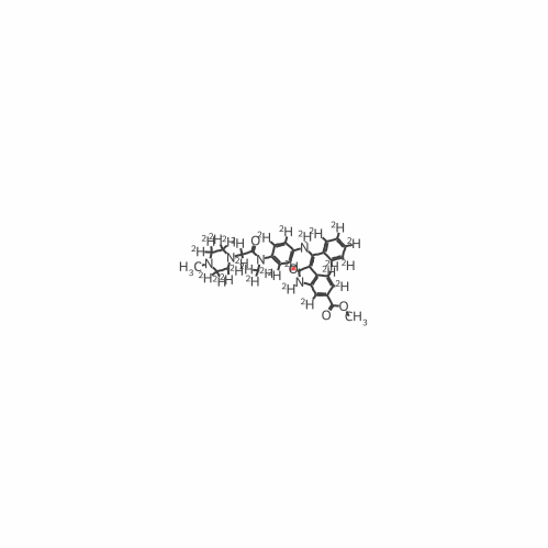 [2H]c1c([2H])c([2H])c(/C(=C2/C(=O)N([2H])c3c([2H])c(C(=O)OC)c([2H])c([2H])c32)N([2H])c2c([2H])c([2H])c(N(C(=O)C([2H])([2H])N3C([2H])([2H])C([2H])([2H])N(C)C([2H])([2H])C3([2H])[2H])C([2H])([2H])[2H])c([2H])c2[2H])c([2H])c1[2H]